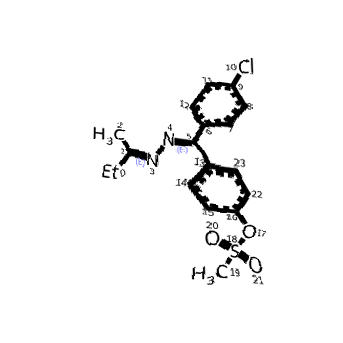 CC/C(C)=N/N=C(/c1ccc(Cl)cc1)c1ccc(OS(C)(=O)=O)cc1